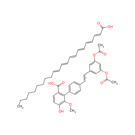 CCCCCCCCCC=CC=CC=CC=CC=CC=CC(=O)O.COc1c(O)ccc(C(=O)O)c1-c1ccc(/C=C/c2cc(OC(C)=O)cc(OC(C)=O)c2)cc1